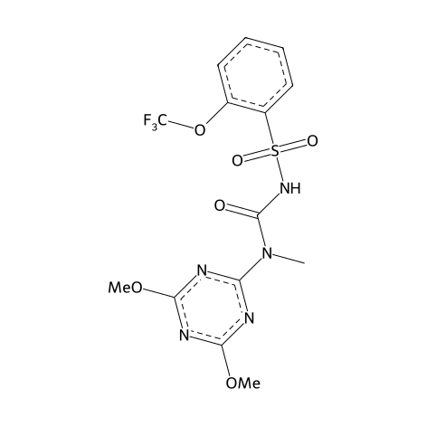 COc1nc(OC)nc(N(C)C(=O)NS(=O)(=O)c2ccccc2OC(F)(F)F)n1